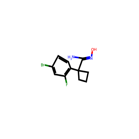 N/C(=N\O)C1(c2ccc(Br)cc2F)CCC1